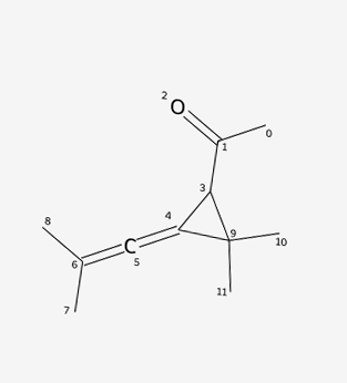 CC(=O)C1C(=C=C(C)C)C1(C)C